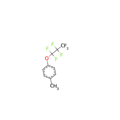 Cc1ccc(OC(F)(F)C(F)(F)C(F)(F)F)cc1